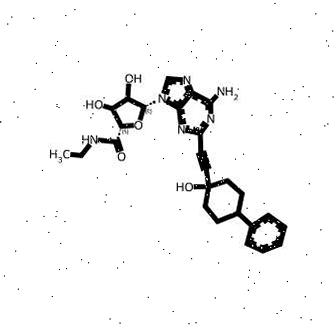 CCNC(=O)[C@H]1O[C@@H](n2cnc3c(N)nc(C#CC4(O)CCC(c5ccccc5)CC4)nc32)C(O)C1O